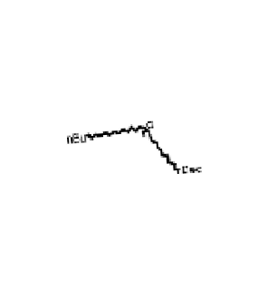 CCCCC=CC=CC=CCCCCCCCC(=O)OCCCCCCCCCCCCCCCCCCCC